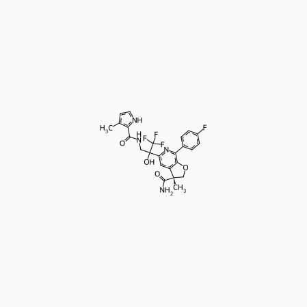 Cc1cc[nH]c1C(=O)NCC(O)(c1cc2c(c(-c3ccc(F)cc3)n1)OC[C@]2(C)C(N)=O)C(F)(F)F